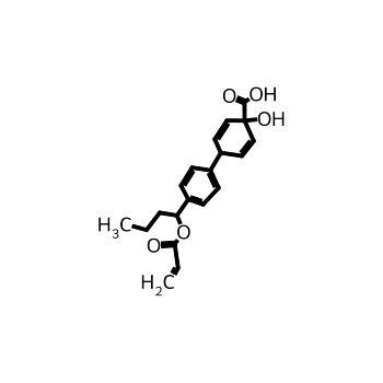 C=CC(=O)OC(CCC)c1ccc(C2C=CC(O)(C(=O)O)C=C2)cc1